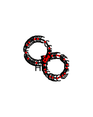 O=C1N(Cc2ccccc2)CCCNCCCCCCCCCCCCCCCCCCCCCCCCCCCCCCCCCCCCCCCCC12CCCCCCCCCCCCCCCCCCCCCCCCCCCCCCCCCCCCCCCCCCCCCC21OCCO1